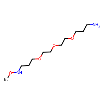 CCONCCCOCCOCCOCCCN